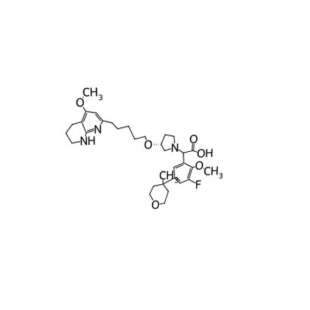 COc1cc(CCCCCO[C@@H]2CCN(C(C(=O)O)c3cc(C4(C)CCOCC4)cc(F)c3OC)C2)nc2c1CCCN2